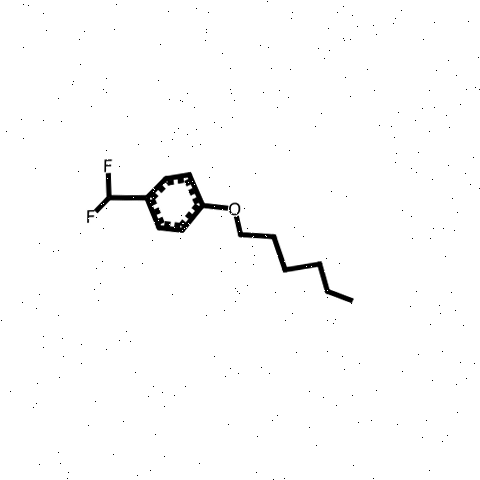 CCCCCCOc1ccc(C(F)F)cc1